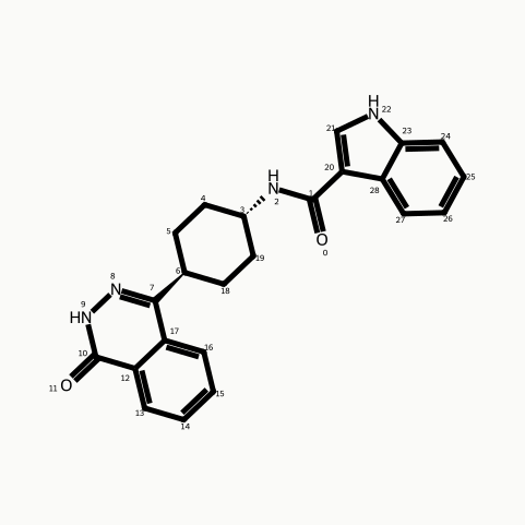 O=C(N[C@H]1CC[C@H](c2n[nH]c(=O)c3ccccc32)CC1)c1c[nH]c2ccccc12